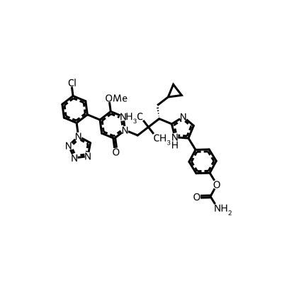 COc1nn(CC(C)(C)[C@H](CC2CC2)c2ncc(-c3ccc(OC(N)=O)cc3)[nH]2)c(=O)cc1-c1cc(Cl)ccc1-n1cnnn1